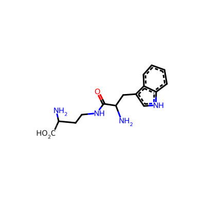 NC(CCNC(=O)C(N)Cc1c[nH]c2ccccc12)C(=O)O